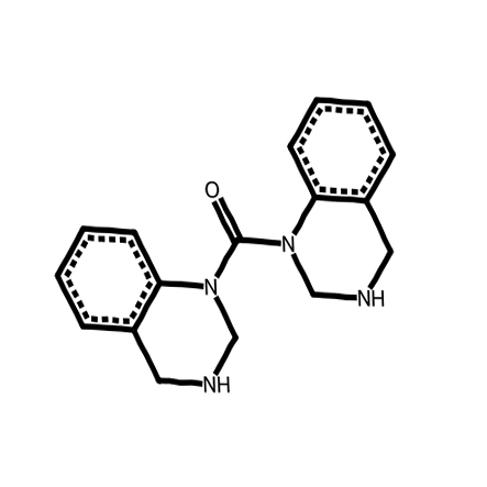 O=C(N1CNCc2ccccc21)N1CNCc2ccccc21